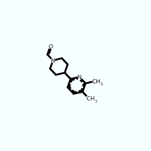 Cc1ccc(C2CCN(C=O)CC2)nc1C